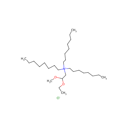 CCCCCCCC[N+](CCCCCCCC)(CCCCCCCC)CC(OC)OCC.[Cl-]